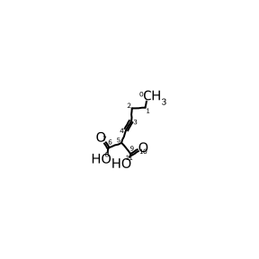 CCCC#CC(C(=O)O)C(=O)O